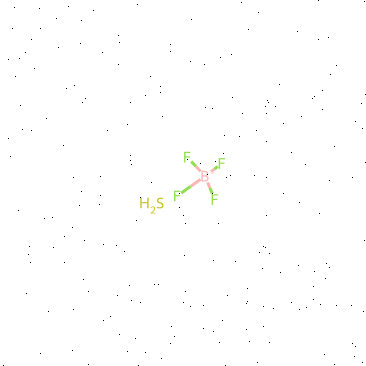 F[B-](F)(F)F.S